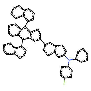 Fc1ccc(N(c2ccccc2)c2ccc3cc(-c4ccc5c(-c6cccc7ccccc67)c6ccccc6c(-c6cccc7ccccc67)c5c4)ccc3c2)cc1